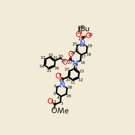 COC(=O)CC1CCN(C(=O)c2cccc(N(CC3CCN(C(=O)OC(C)(C)C)CC3)C(=O)OCc3ccccc3)c2)CC1